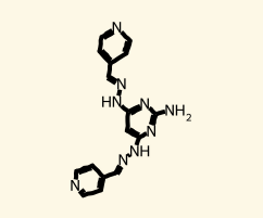 Nc1nc(NN=Cc2ccncc2)cc(NN=Cc2ccncc2)n1